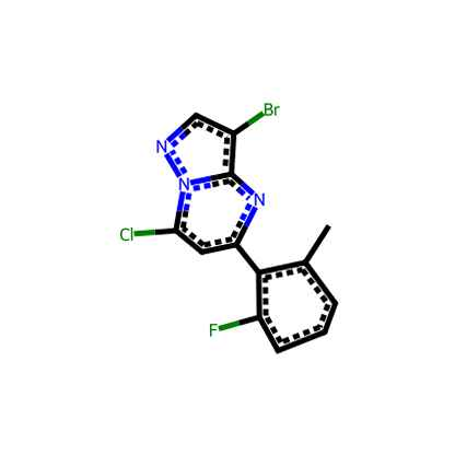 Cc1cccc(F)c1-c1cc(Cl)n2ncc(Br)c2n1